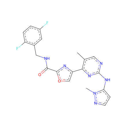 Cc1cnc(Nc2ccnn2C)nc1-c1coc(C(=O)NCc2cc(F)ccc2F)n1